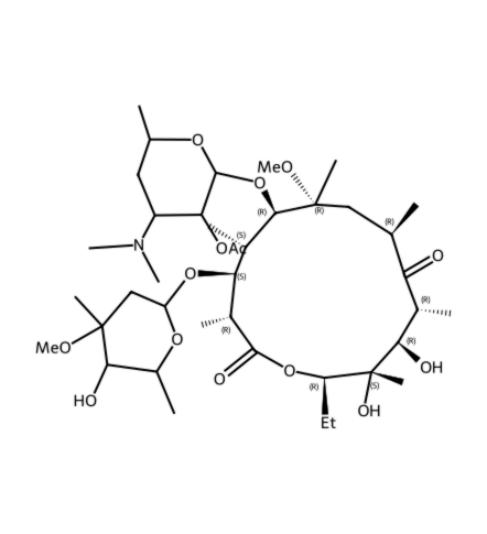 CC[C@H]1OC(=O)[C@H](C)[C@@H](OC2CC(C)(OC)C(O)C(C)O2)[C@H](C)[C@@H](OC2OC(C)CC(N(C)C)C2OC(C)=O)[C@](C)(OC)C[C@@H](C)C(=O)[C@H](C)[C@@H](O)[C@]1(C)O